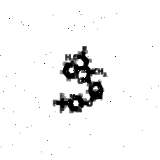 C/C(C(=O)N1CC2CC(Oc3cnc(C(F)(F)F)cn3)C1C2)=C(\C=C(/C)F)c1ncccn1